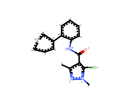 Cc1nn(C)c(Cl)c1C(=O)Nc1ccccc1-c1ccccc1